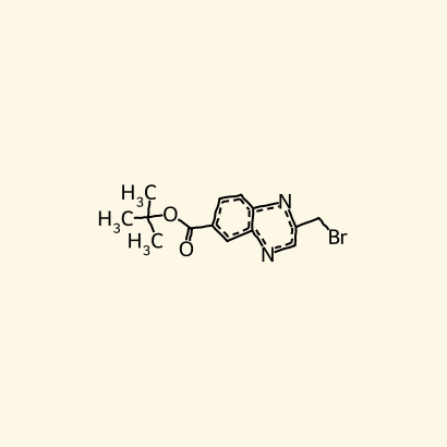 CC(C)(C)OC(=O)c1ccc2nc(CBr)cnc2c1